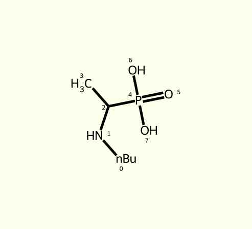 CCCCNC(C)P(=O)(O)O